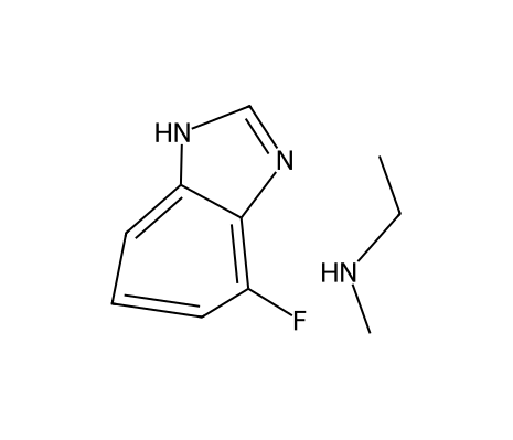 CCNC.Fc1cccc2[nH]cnc12